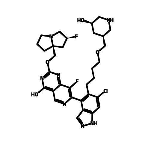 Oc1nc(OC[C@@]23CCCN2C[C@H](F)C3)nc2c(F)c(-c3c(CCCCOC[C@@H]4CNC[C@H](O)C4)c(Cl)cc4[nH]ncc34)ncc12